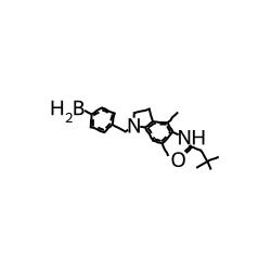 Bc1ccc(CN2CCc3c2cc(C)c(NC(=O)CC(C)(C)C)c3C)cc1